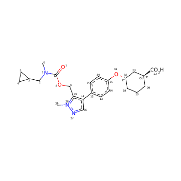 CN(CC1CC1)C(=O)OCc1c(-c2ccc(O[C@H]3CCC[C@H](C(=O)O)C3)cc2)cnn1C